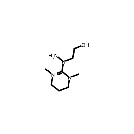 CN1CCC[N+](C)=C1N(N)CCO